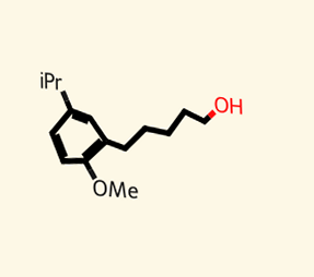 COc1ccc(C(C)C)cc1CCCCCO